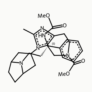 COC(=O)N[C@@H](CCN1C2CCC1CC(n1c(C)nc3c1CN(C(=O)OC)CC3)C2)c1ccccc1